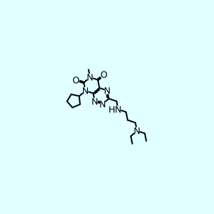 CCN(CC)CCCNCc1nnc2c(n1)c(=O)n(C)c(=O)n2C1CCCC1